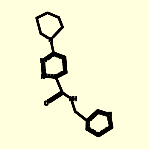 O=C(NCc1cccnc1)c1ccc(N2CCCCC2)nn1